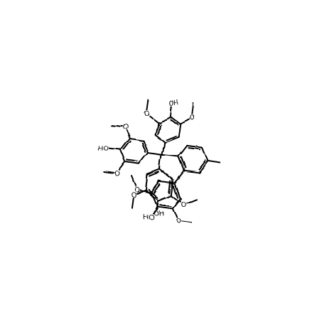 COc1cc(-c2cc(C)ccc2C(c2cc(OC)c(O)c(OC)c2)(c2cc(OC)c(O)c(OC)c2)c2cc(OC)c(O)c(OC)c2)cc(OC)c1O